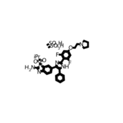 CC(C)S(=O)(=O)n1c(N)nc2ccc(-c3nc(-c4c(F)cc(OCCN5CCCC5)cc4F)[nH]c3-c3ccccc3)cc21.CS(=O)(=O)O.CS(=O)(=O)O